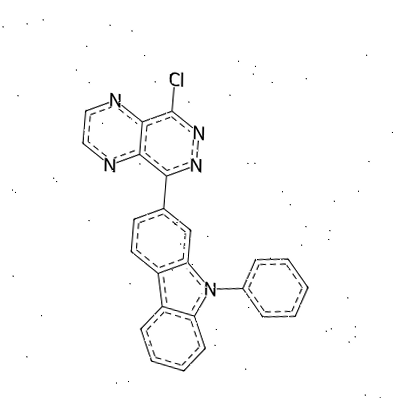 Clc1nnc(-c2ccc3c4ccccc4n(-c4ccccc4)c3c2)c2nccnc12